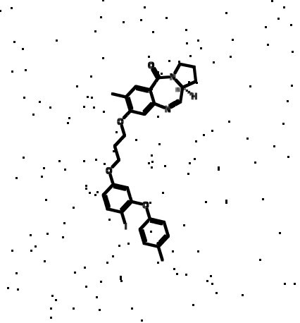 Cc1ccc(Oc2cc(OCCCOc3cc4c(cc3C)C(=O)N3CCC[C@H]3C=N4)ccc2I)cc1